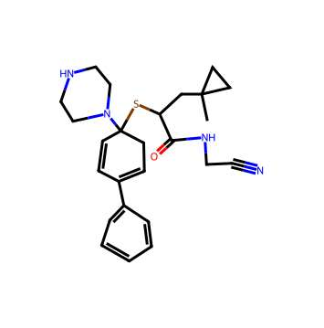 CC1(CC(SC2(N3CCNCC3)C=CC(c3ccccc3)=CC2)C(=O)NCC#N)CC1